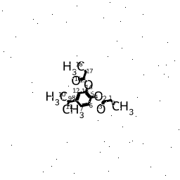 CCC(=O)Oc1ccc(C(C)C)cc1OC(=O)CC